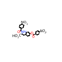 O=C(N[C@@H](Cc1ccc(OC(=O)c2ccc([N+](=O)[O-])cc2)cc1)C(=O)O)c1ccc([N+](=O)[O-])cc1